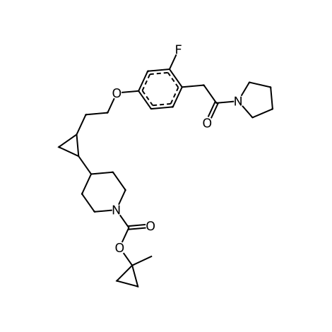 CC1(OC(=O)N2CCC(C3CC3CCOc3ccc(CC(=O)N4CCCC4)c(F)c3)CC2)CC1